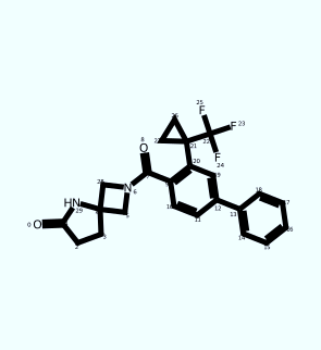 O=C1CCC2(CN(C(=O)c3ccc(-c4ccccc4)cc3C3(C(F)(F)F)CC3)C2)N1